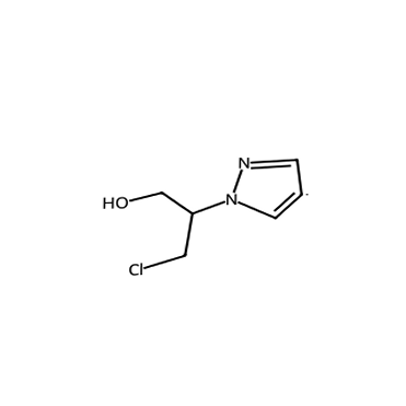 OCC(CCl)n1c[c]cn1